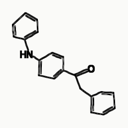 O=C(Cc1ccccc1)c1ccc(Nc2ccccc2)cc1